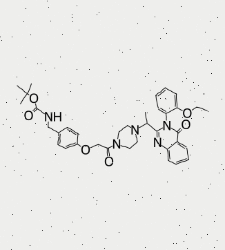 CCOc1ccccc1-n1c(C(C)N2CCN(C(=O)COc3ccc(CNC(=O)OC(C)(C)C)cc3)CC2)nc2ccccc2c1=O